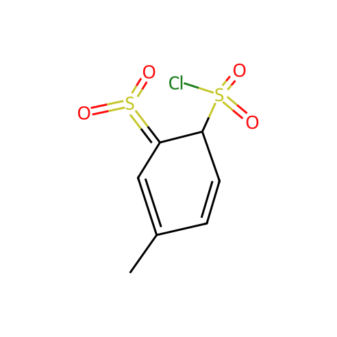 CC1=CC(=S(=O)=O)C(S(=O)(=O)Cl)C=C1